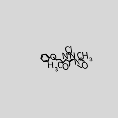 C[C@H]1COCCN1c1nc(Cl)nc2c1COC2(C)CCOc1ccccc1